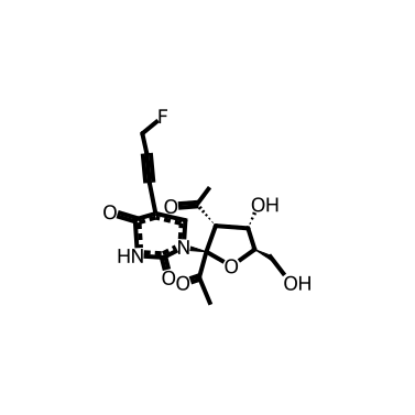 CC(=O)[C@@H]1[C@H](O)[C@@H](CO)O[C@@]1(C(C)=O)n1cc(C#CCF)c(=O)[nH]c1=O